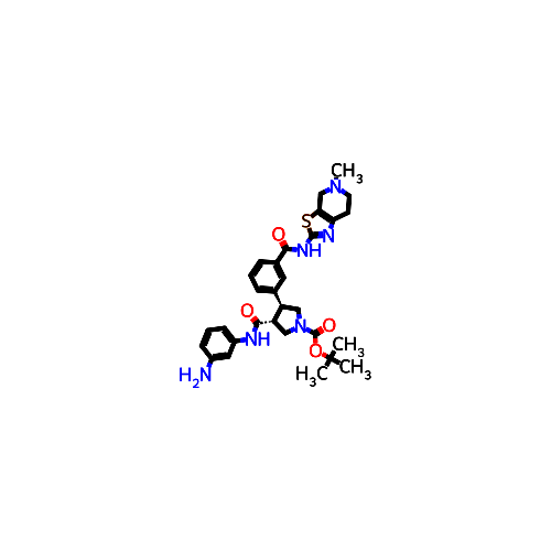 CN1CCc2nc(NC(=O)c3cccc([C@H]4CN(C(=O)OC(C)(C)C)C[C@@H]4C(=O)Nc4cccc(N)c4)c3)sc2C1